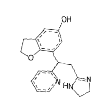 Oc1cc2c(c(C(CC3=NCCN3)c3ccccn3)c1)OCC2